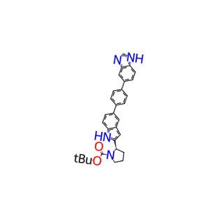 CC(C)(C)OC(=O)N1CCC[C@@H]1c1cc2cc(-c3ccc(-c4ccc5[nH]cnc5c4)cc3)ccc2[nH]1